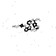 C[C@H](Oc1cccc(-n2nc(C(F)(F)F)c3c2[C@H](OC24CC(C(=O)O)(C2)C4)CCC3)n1)c1ccc2c(c1)OC(F)(F)O2